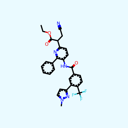 CCOC(=O)C(CC#N)c1ccc(NC(=O)c2ccc(C(F)(F)F)c(-c3ccn(C)n3)c2)c(-c2ccccc2)n1